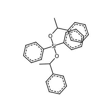 CC(O[Si](OC(C)c1ccccc1)(c1ccccc1)c1ccccc1)c1ccccc1